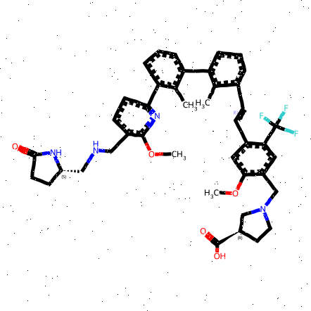 COc1cc(/C=C/c2cccc(-c3cccc(-c4ccc(CNC[C@@H]5CCC(=O)N5)c(OC)n4)c3C)c2C)c(C(F)(F)F)cc1CN1CC[C@@H](C(=O)O)C1